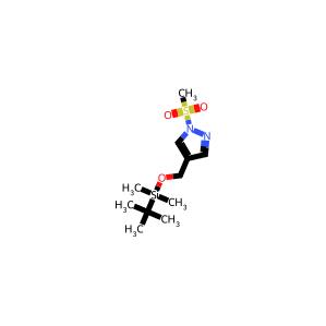 CC(C)(C)[Si](C)(C)OCc1cnn(S(C)(=O)=O)c1